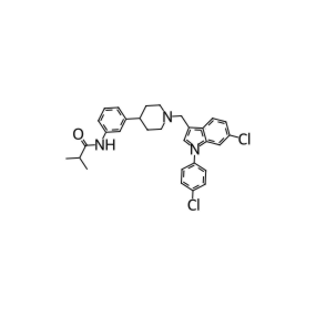 CC(C)C(=O)Nc1cccc(C2CCN(Cc3cn(-c4ccc(Cl)cc4)c4cc(Cl)ccc34)CC2)c1